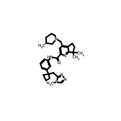 C[C@H]1CCCN(Cc2cc(C(=O)Nc3cccc(C4(Cc5nncn5C)CCC4)c3)nc3c2CCC3(C)C)C1